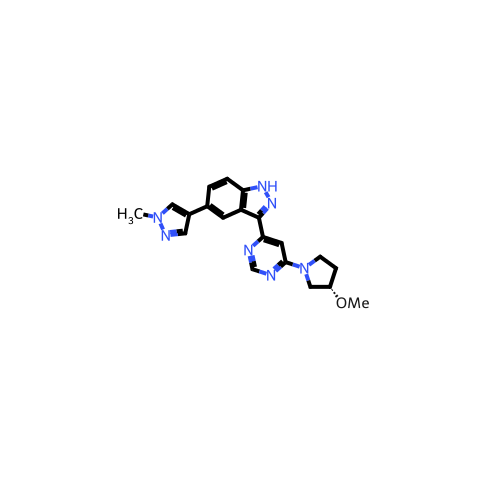 CO[C@H]1CCN(c2cc(-c3n[nH]c4ccc(-c5cnn(C)c5)cc34)ncn2)C1